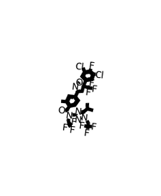 Cc1cc(C2=NOC(c3cc(Cl)c(F)c(Cl)c3)(C(F)(F)F)C2)ccc1C(=O)N(CC(F)(F)F)c1nc(C(C)C)n(CC(F)(F)F)n1